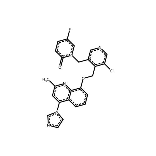 Cc1cc(-n2ccnc2)c2cccc(OCc3c(Cl)cncc3Cn3cc(F)ccc3=O)c2n1